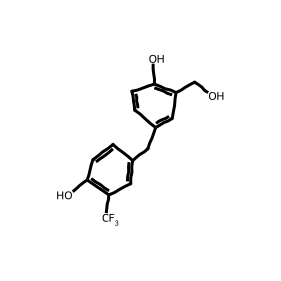 OCc1cc(Cc2ccc(O)c(C(F)(F)F)c2)ccc1O